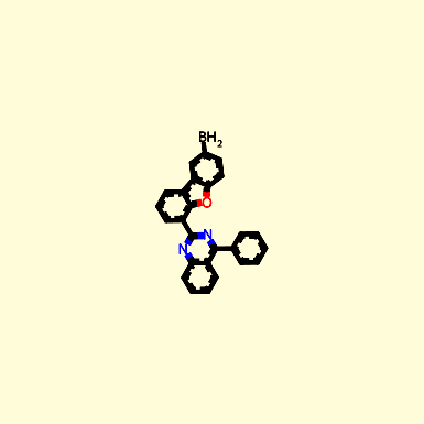 Bc1ccc2oc3c(-c4nc(-c5ccccc5)c5ccccc5n4)cccc3c2c1